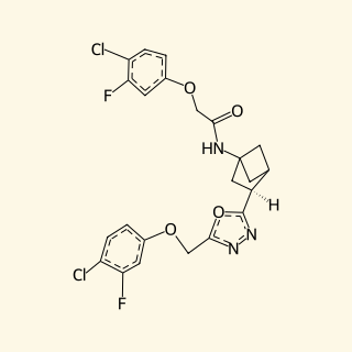 O=C(COc1ccc(Cl)c(F)c1)NC12CC(C1)[C@@H](c1nnc(COc3ccc(Cl)c(F)c3)o1)C2